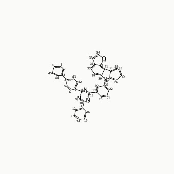 c1ccc(-c2ccc(-c3nc(-c4ccccc4)nc(-c4cccc(-n5c6ccccc6c6c7occc7ccc65)c4)n3)cc2)cc1